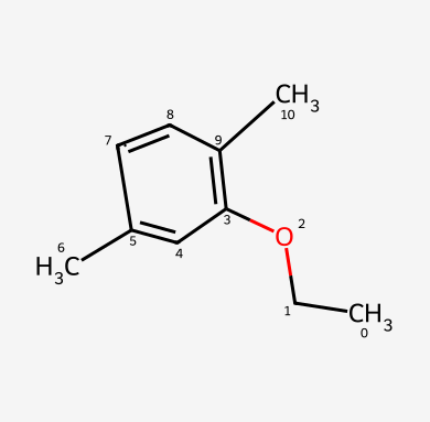 CCOc1cc(C)[c]cc1C